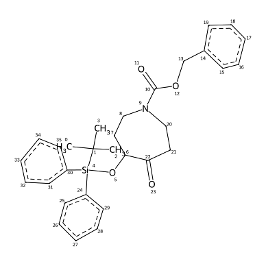 CC(C)(C)[Si](OC1CCN(C(=O)OCc2ccccc2)CCC1=O)(c1ccccc1)c1ccccc1